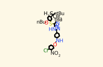 CCCCOc1ccc(C(C)(C)CC(C)(C)C)cc1Sc1c(C(C)(C)C)nn2nc(-c3ccc(NCOc4ccc(Cl)c([N+](=O)[O-])c4)cc3)[nH]c12